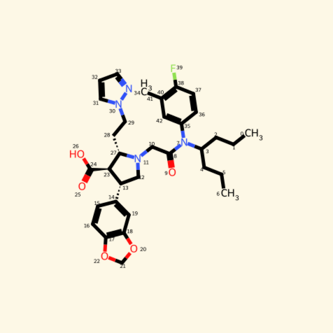 CCCC(CCC)N(C(=O)CN1C[C@H](c2ccc3c(c2)OCO3)[C@@H](C(=O)O)[C@@H]1CCn1cccn1)c1ccc(F)c(C)c1